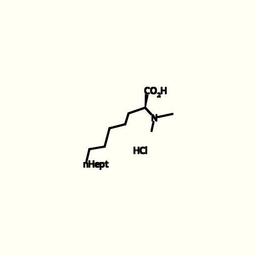 CCCCCCCCCCCC[C@@H](C(=O)O)N(C)C.Cl